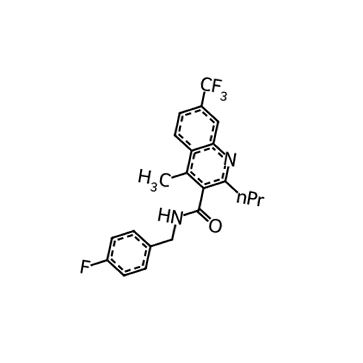 CCCc1nc2cc(C(F)(F)F)ccc2c(C)c1C(=O)NCc1ccc(F)cc1